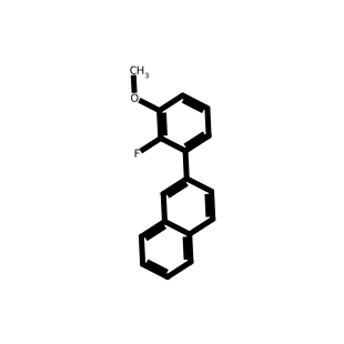 COc1cccc(-c2[c]c3ccccc3cc2)c1F